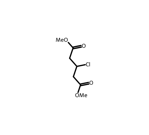 COC(=O)CC(Cl)CC(=O)OC